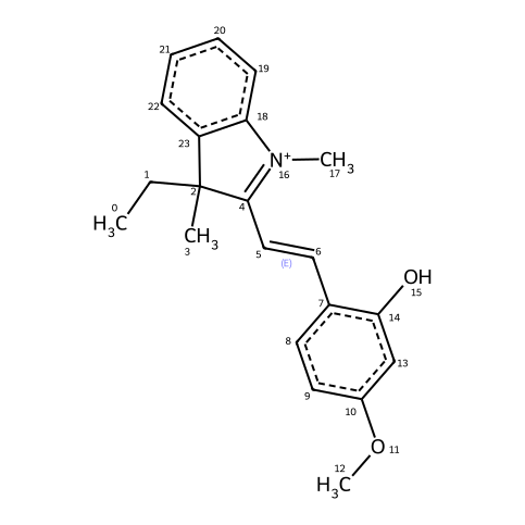 CCC1(C)C(/C=C/c2ccc(OC)cc2O)=[N+](C)c2ccccc21